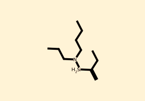 C=C(CC)[SiH2]N(CCC)CCCC